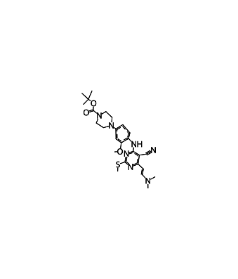 COc1cc(N2CCN(C(=O)OC(C)(C)C)CC2)ccc1Nc1nc(SC)nc(C=CN(C)C)c1C#N